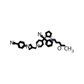 CCC(=O)CC/C=C/[C@H]1CCC[C@@H]1C(C#N)(c1ccccc1)C1CCN(CC2CN(c3ccc(C#N)cc3)C2)CC1